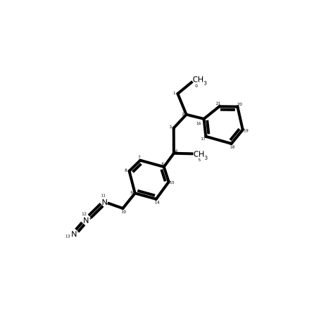 CCC(CC(C)c1ccc(CN=[N+]=[N-])cc1)c1ccccc1